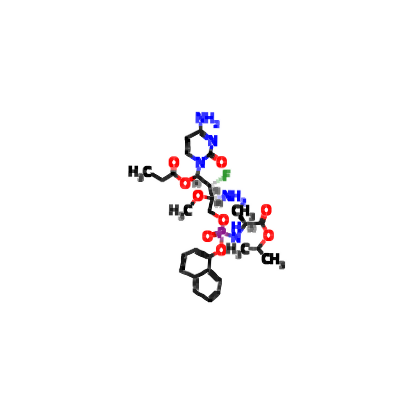 CCC(=O)O[C@H]([C@H](F)[C@@](N)(COP(=O)(N[C@@H](C)C(=O)OC(C)C)Oc1cccc2ccccc12)OC)n1ccc(N)nc1=O